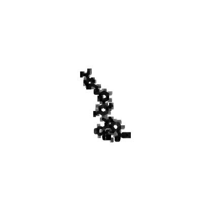 CC1(C)COCC1n1c(Cc2cc(F)c(-c3cccc(OCc4nnc(C(F)F)s4)n3)cc2F)nc2ccc(C(=O)O)cc21